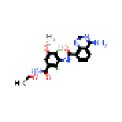 CCONC(=O)c1cc(OC)c(Cl)c(NC(=O)c2cccc3c(N)ncnc23)c1Cl